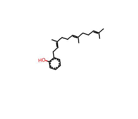 CC(C)=CCC/C(C)=C/CC/C(C)=C/Cc1ccccc1O